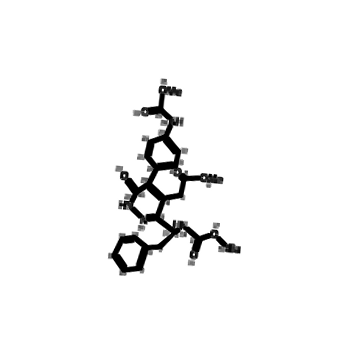 COC(=O)Cc1c([C@H](Cc2ccccc2)NC(=O)OC(C)(C)C)n[nH]c(=O)c1-c1ccc(NC(=O)OC)cc1